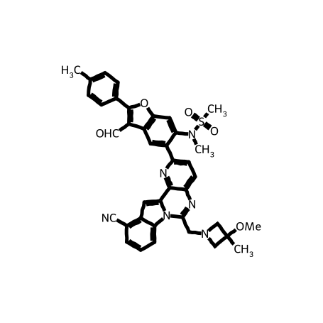 COC1(C)CN(Cc2nc3ccc(-c4cc5c(C=O)c(-c6ccc(C)cc6)oc5cc4N(C)S(C)(=O)=O)nc3c3cc4c(C#N)cccc4n23)C1